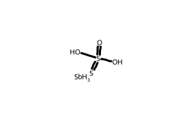 O=S(O)(O)=S.[SbH3]